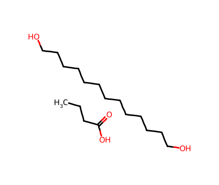 CCCC(=O)O.OCCCCCCCCCCCCCO